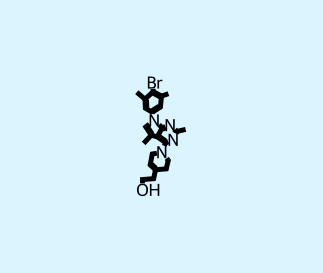 Cc1nc(N2CC=C(CCO)CC2)c2c(C)cn(-c3cc(C)c(Br)c(C)c3)c2n1